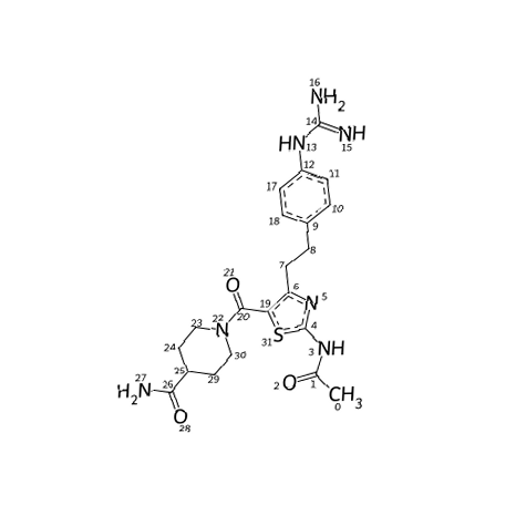 CC(=O)Nc1nc(CCc2ccc(NC(=N)N)cc2)c(C(=O)N2CCC(C(N)=O)CC2)s1